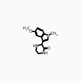 COc1ccc2c(c1)c(C1NCCNC1=O)cn2C